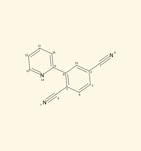 N#Cc1ccc(C#N)c(-c2c[c]ccn2)c1